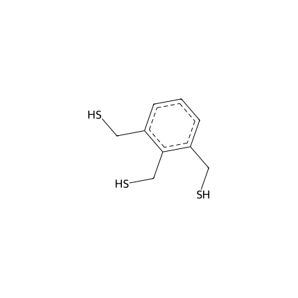 SCc1cccc(CS)c1CS